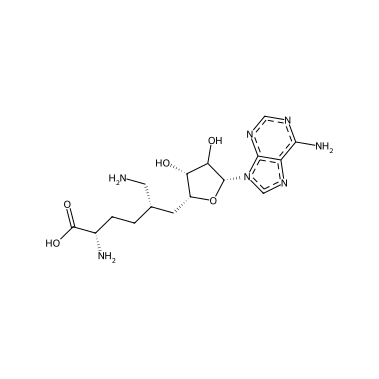 NC[C@@H](CC[C@H](N)C(=O)O)C[C@H]1O[C@@H](n2cnc3c(N)ncnc32)C(O)[C@H]1O